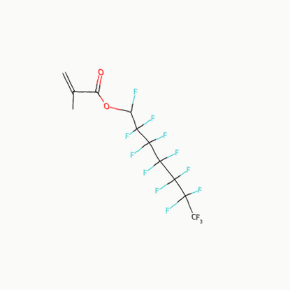 C=C(C)C(=O)OC(F)C(F)(F)C(F)(F)C(F)(F)C(F)(F)C(F)(F)C(F)(F)F